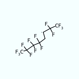 FC(F)(F)C(F)(F)[CH]CC(F)(F)C(F)(F)C(F)(F)C(F)(F)F